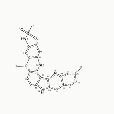 COc1cc(NS(C)(=O)=O)ccc1Nc1cccc2[nH]c3cc4ccc(C)cc4nc3c12